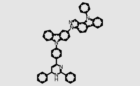 C1=C(c2ccc(-n3c4ccccc4c4cc(-n5ncc6c5ccc5c7ccccc7n(-c7ccccc7)c56)ccc43)cc2)N=C(c2ccccc2)NC1c1ccccc1